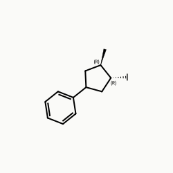 C[C@@H]1CC(c2ccccc2)C[C@H]1I